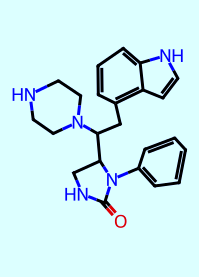 O=C1NCC(C(Cc2cccc3[nH]ccc23)N2CCNCC2)N1c1ccccc1